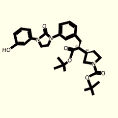 CC(C)(C)OC(=O)[C@@H](Cc1cccc(N2CCN(c3cccc(O)c3)C2=O)c1)[C@H]1CCN(C(=O)OC(C)(C)C)C1